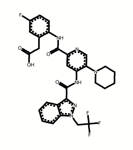 O=C(O)Cc1cc(F)ccc1NC(=O)c1cc(NC(=O)c2nn(CC(F)(F)F)c3ccccc23)c(N2CCCCC2)cn1